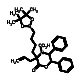 C=CCC1(CCCCB2OC(C)(C)C(C)(C)O2)C(=O)OC(c2ccccc2)C(c2ccccc2)N1C(=O)O